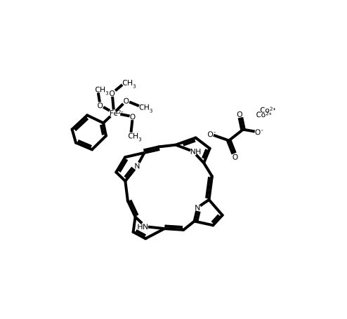 C1=Cc2cc3ccc(cc4nc(cc5ccc(cc1n2)[nH]5)C=C4)[nH]3.C[O][Fe-2]([O]C)([O]C)([O]C)[c]1ccccc1.O=C([O-])C(=O)[O-].[Co+2].[Co+2]